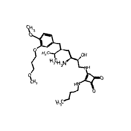 CCCCNc1c(NC[C@H](O)[C@@H](N)C[C@H](Cc2ccc(OC)c(OCCCOC)c2)C(C)C)c(=O)c1=O